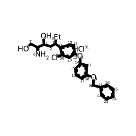 CCC(CC(O)C(N)CO)c1ccc(Oc2cccc(OCc3ccccc3)c2)cc1Cl.Cl